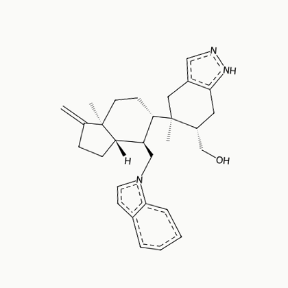 C=C1CC[C@H]2[C@H](Cn3ccc4ccccc43)[C@@H]([C@@]3(C)Cc4cn[nH]c4C[C@@H]3CO)CC[C@]12C